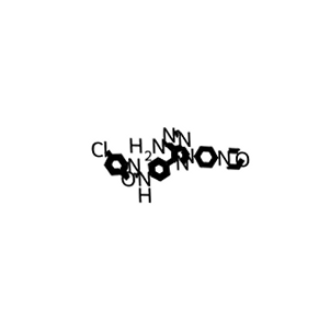 Nc1ncnc2c1c(-c1ccc(Nc3nc4cc(Cl)ccc4o3)cc1)nn2[C@H]1CC[C@@H](N2CCOCC2)CC1